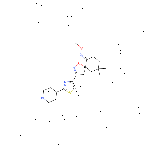 CO/N=C1\CCC(C)(C)CC12CC(c1csc(C3CCNCC3)n1)=NO2